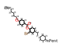 CCCCC[C@H]1CC[C@H](CCc2ccc(OC(=O)c3ccc(OCCCCC[C@@H](C)CC)cc3)c(Br)c2)CC1